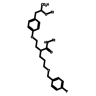 CCNC(=O)N(CCCOCc1ccc(F)cc1)CCOc1ccc(CC(OCC)C(=O)O)cc1